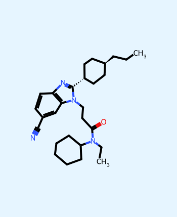 CCC[C@H]1CC[C@H](c2nc3ccc(C#N)cc3n2CCC(=O)N(CC)C2CCCCC2)CC1